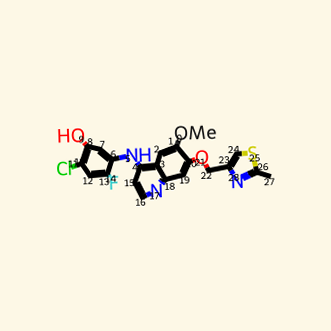 COc1cc2c(Nc3cc(O)c(Cl)cc3F)ccnc2cc1OCc1csc(C)n1